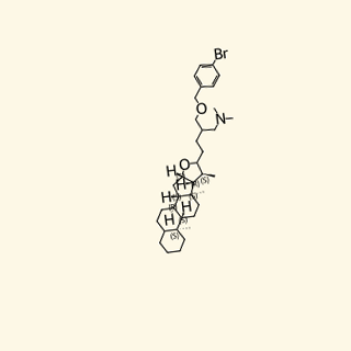 C[C@@H]1C(CCC(COCc2ccc(Br)cc2)CN(C)C)O[C@H]2C[C@H]3[C@@H]4CCC5CCCC[C@]5(C)[C@H]4CC[C@]3(C)[C@H]21